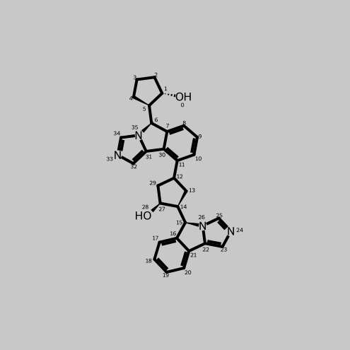 O[C@H]1CCC[C@@H]1[C@H]1c2cccc(C3C[C@@H]([C@@H]4c5ccccc5-c5cncn54)[C@@H](O)C3)c2-c2cncn21